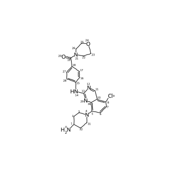 NC1CCN(c2ccc(Cl)c3cnc(Nc4ccc(C(=O)N5CCOCC5)cc4)nc23)CC1